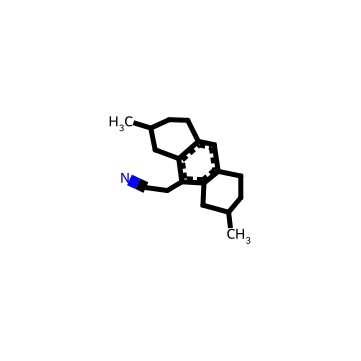 CC1CCc2cc3c(c(CC#N)c2C1)CC(C)CC3